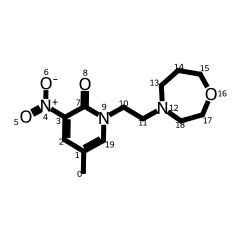 Cc1cc([N+](=O)[O-])c(=O)n(CCN2CCCOCC2)c1